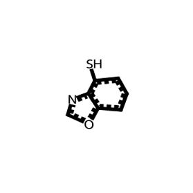 Sc1cccc2ocnc12